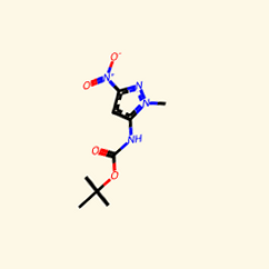 Cn1nc([N+](=O)[O-])cc1NC(=O)OC(C)(C)C